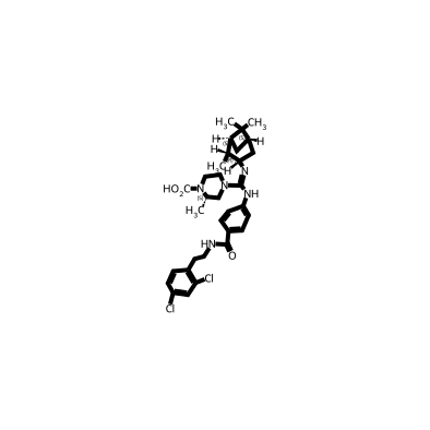 C[C@H]1[C@@H](N=C(Nc2ccc(C(=O)NCCc3ccc(Cl)cc3Cl)cc2)N2CCN(C(=O)O)[C@@H](C)C2)C[C@@H]2C[C@@H]1C2(C)C